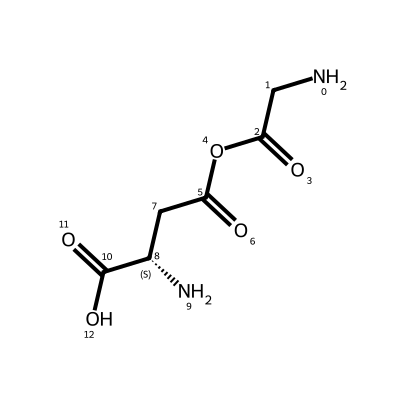 NCC(=O)OC(=O)C[C@H](N)C(=O)O